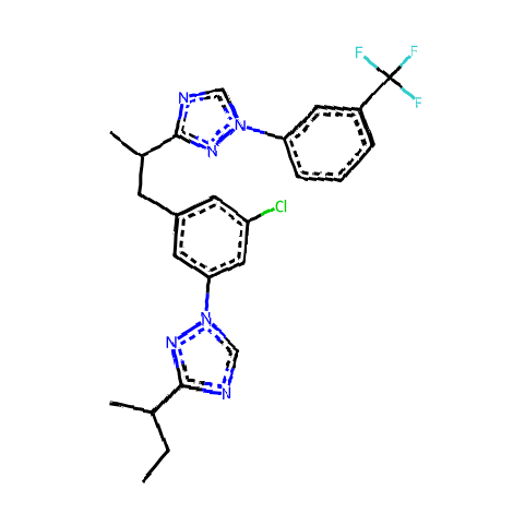 CCC(C)c1ncn(-c2cc(Cl)cc(CC(C)c3ncn(-c4cccc(C(F)(F)F)c4)n3)c2)n1